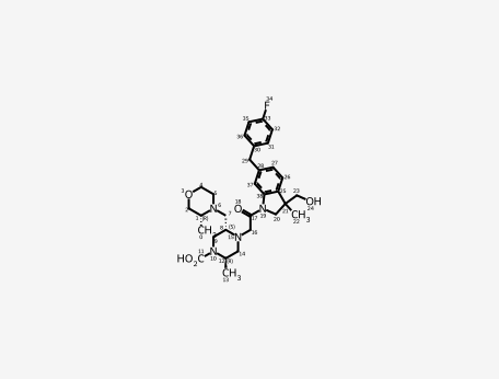 C[C@@H]1COCCN1C[C@H]1CN(C(=O)O)[C@H](C)CN1CC(=O)N1CC(C)(CO)c2ccc(Cc3ccc(F)cc3)cc21